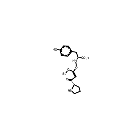 CC(C)(C)OC(=CC(=O)[C@@H]1CCCN1)ON[C@@H](Cc1ccc(O)cc1)C(=O)O